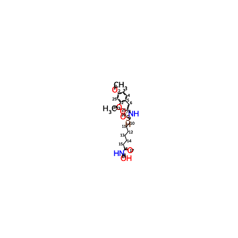 COc1ccc(/C=C2/N[SH](CCCCCCC(=O)NO)OO2)c(OC)c1